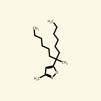 CCCCCCC(C)(CCCCCC)c1cc(C)no1